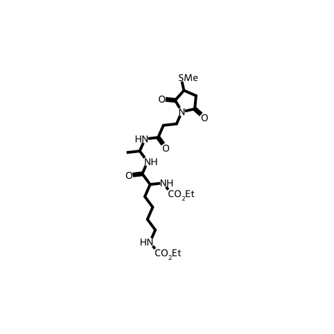 CCOC(=O)NCCCCC(NC(=O)OCC)C(=O)NC(C)NC(=O)CCN1C(=O)CC(SC)C1=O